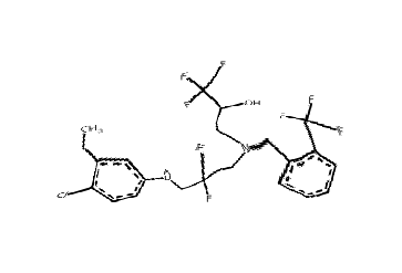 CCc1cc(OCC(F)(F)CN(Cc2ccccc2C(F)(F)F)CC(O)C(F)(F)F)ccc1Cl